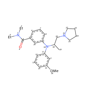 CCN(CC)C(=O)c1cccc(N(c2cccc(OC)c2)C(C)CN2CCCC2)c1